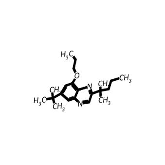 CCCOc1cc(C(C)(C)C)cc2ncc(C(C)(C)CCC)nc12